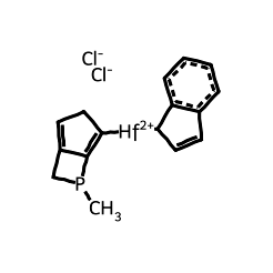 CP1CC2=CC[C]([Hf+2][CH]3C=Cc4ccccc43)=C21.[Cl-].[Cl-]